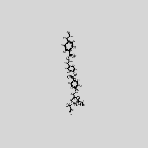 C=CC(=N)OC(COC(=O)C=C)COc1ccc(C(=O)Oc2ccc(CCOC(=O)c3ccc(CCC)cc3)cc2)cc1